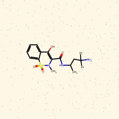 CCC(N)(CC)CC(C)NC(=O)C1=C(O)c2ccccc2S(=O)(=O)N1C